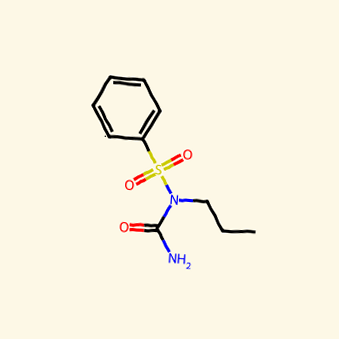 CCCN(C(N)=O)S(=O)(=O)c1[c]cccc1